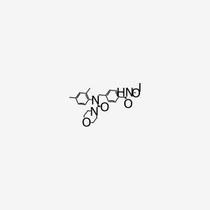 Cc1ccc(N(Cc2ccc(C(=O)NOI)cc2)C(=O)N2CCOCC2)c(C)c1